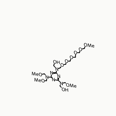 COCOCOCOCOCOCN(CO)c1nc(N(CO)COC)nc(N(COC)COC)n1